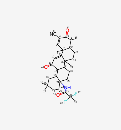 CC1C(=O)C(C#N)=CC2(C)C3=CC(=O)C4C5CC(C)(C)CCC5(NC(=O)C(C)(F)F)CCC4C3(C)CCC12